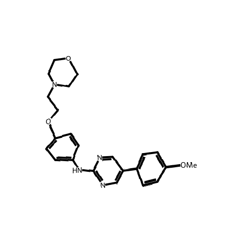 COc1ccc(-c2cnc(Nc3ccc(OCCN4CCOCC4)cc3)nc2)cc1